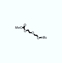 CCCCOCCOCCOC(=O)OC